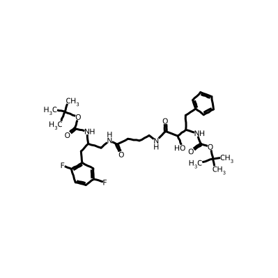 CC(C)(C)OC(=O)NC(CNC(=O)CCCNC(=O)C(O)C(Cc1ccccc1)NC(=O)OC(C)(C)C)Cc1cc(F)ccc1F